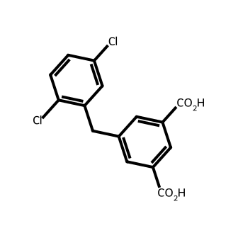 O=C(O)c1cc(Cc2cc(Cl)ccc2Cl)cc(C(=O)O)c1